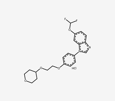 Cl.FC(F)Oc1ccc2ncn(-c3ccc(OCCOC4CCOCC4)cc3)c2c1